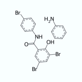 Nc1ccccc1.O=C(Nc1ccc(Br)cc1)c1cc(Br)cc(Br)c1O